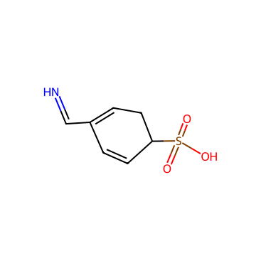 N=CC1=CCC(S(=O)(=O)O)C=C1